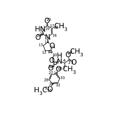 COC(=O)C(C)NP(=O)(OC[C@@H]1CCC(n2cc(C)c(=O)[nH]c2=O)O1)Oc1ccc(OC)cc1